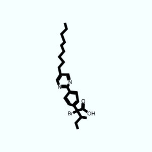 CCCCCCCCCc1cnc(-c2ccc(C(Br)(C(=O)O)C(C)CC)cc2)nc1